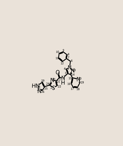 O=C(Nc1cn(Cc2ccccc2)nc1-c1ccccn1)c1csc(-c2cn[nH]c2)n1